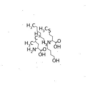 CC(C)CC(N)C(=O)O.CCCCCCCCCCCCO.CSCCC(N)C(=O)O